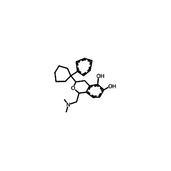 CN(C)CC1OC(C2(c3ccccc3)CCCCC2)Cc2c1ccc(O)c2O